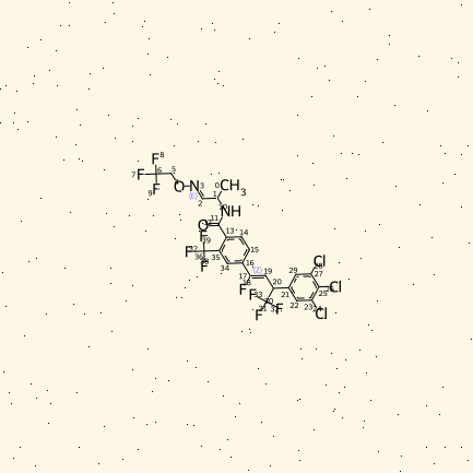 CC(/C=N/OCC(F)(F)F)NC(=O)c1ccc(/C(F)=C/C(c2cc(Cl)c(Cl)c(Cl)c2)C(F)(F)F)cc1C(F)(F)F